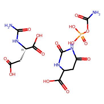 NC(=O)N[C@@H](CC(=O)O)C(=O)O.NC(=O)OP(=O)(O)O.O=C1CC(C(=O)O)NC(=O)N1